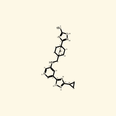 CC(C)(C)c1nc(C23CCC(CNc4cncc(-c5nc(C6CC6)no5)c4)(CC2)CC3)no1